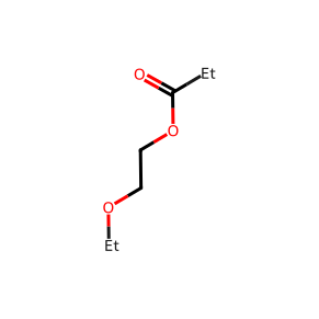 [CH2]CC(=O)OCCOCC